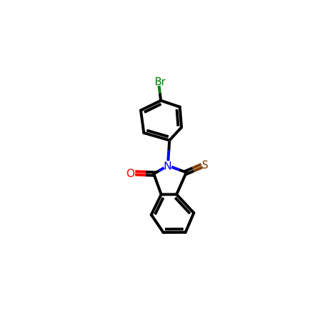 O=C1c2ccccc2C(=S)N1c1ccc(Br)cc1